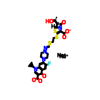 C[C@@H](O)[C@@H]1C(=O)N2C(C(=O)[O-])=C(SCCSC=NN3CCN(c4cc5c(cc4F)c(=O)c(C(=O)[O-])cn5C4CC4)CC3)S[C@H]12.[Na+].[Na+]